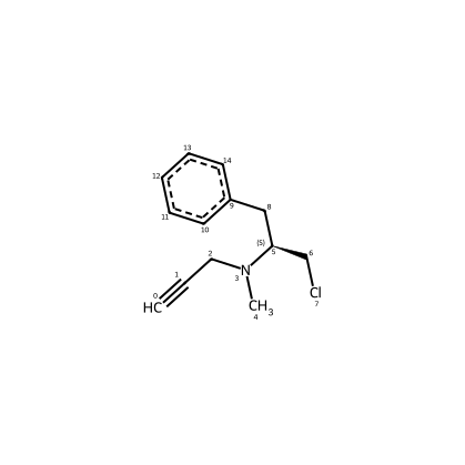 C#CCN(C)[C@H](CCl)Cc1ccccc1